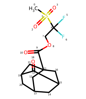 CS(=O)(=O)C(F)(F)COC(=O)C12CC3CC(C1)C(=O)C(C3)C2